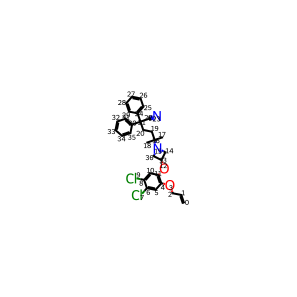 C=CCOc1cc(Cl)c(Cl)cc1OC1CN(C(C)(C)CCC(C#N)(c2ccccc2)c2ccccc2)C1